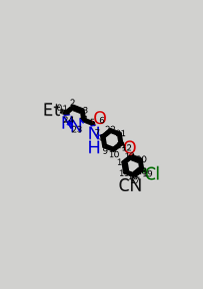 CCc1ccc(C(=O)N[C@H]2CC[C@H](Oc3ccc(C#N)c(Cl)c3)CC2)nn1